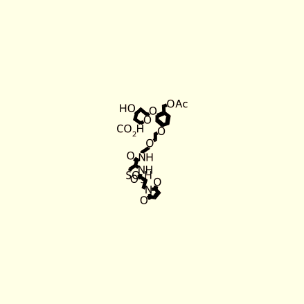 CC(=O)OCc1ccc(OCCOCCNC(=O)C(CS(=O)(=O)O)NC(=O)CCN2C(=O)C=CC2=O)cc1OC1CC(O)CC(C(=O)O)O1